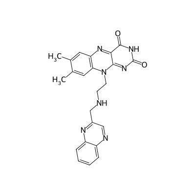 Cc1cc2nc3c(=O)[nH]c(=O)nc-3n(CCNCc3cnc4ccccc4n3)c2cc1C